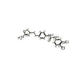 NC1=NC(CCc2ccc(NC(=O)Nc3ccc(Cl)c(Cl)c3)cc2)CO1